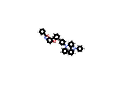 c1ccc(-c2nc3ccc4oc5c(-c6ccc(N(c7ccccc7)c7cccc8c7c7ccccc7n8-c7ccccc7)cc6)cccc5c4c3o2)cc1